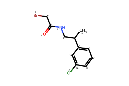 CC(CNC(=O)CBr)c1cccc(Cl)c1